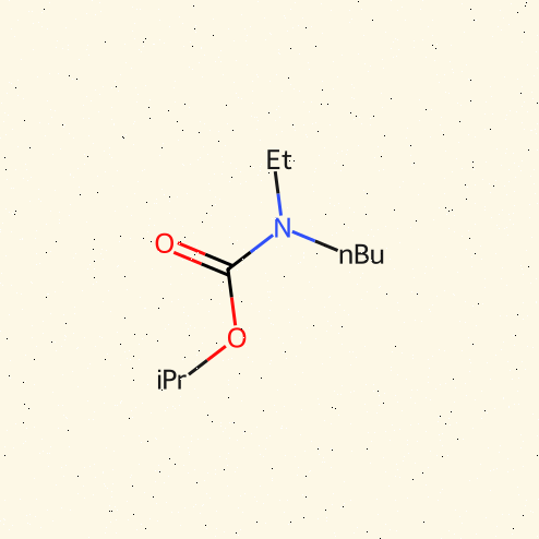 CCCCN(CC)C(=O)OC(C)C